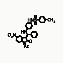 CC(=O)N1C(=O)C(=C(Nc2ccc(NS(=O)(=O)c3ccc(C)cc3)cc2)c2ccccc2)c2cc([N+](=O)[O-])ccc21